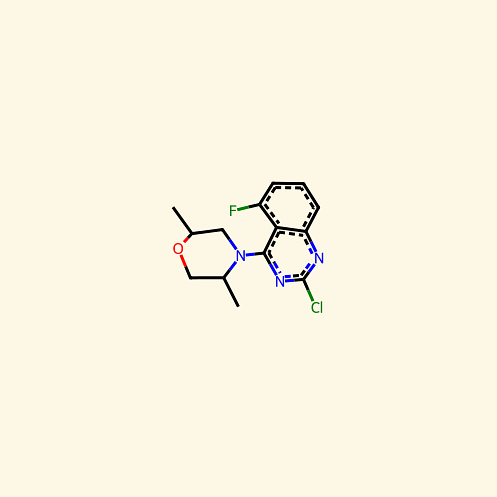 CC1CN(c2nc(Cl)nc3cccc(F)c23)C(C)CO1